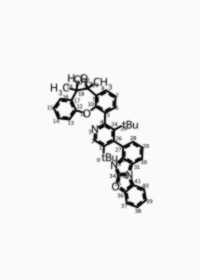 CC(C)(C)c1cnc(-c2cccc3c2Oc2ccccc2C(C)(C)C3(C)C)c(C(C)(C)C)c1-c1cccc2c1nc1oc3ccccc3n12